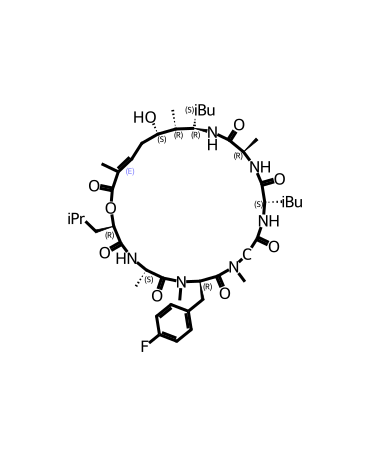 CCC(C)[C@@H]1NC(=O)CN(C)C(=O)[C@@H](Cc2ccc(F)cc2)N(C)C(=O)[C@H](C)NC(=O)[C@@H](CC(C)C)OC(=O)/C(C)=C/C[C@H](O)[C@H](C)[C@@H]([C@@H](C)CC)NC(=O)[C@@H](C)NC1=O